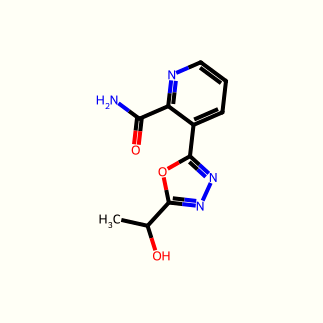 CC(O)c1nnc(-c2cccnc2C(N)=O)o1